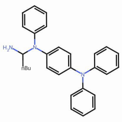 CCCCC(N)N(c1ccccc1)c1ccc(N(c2ccccc2)c2ccccc2)cc1